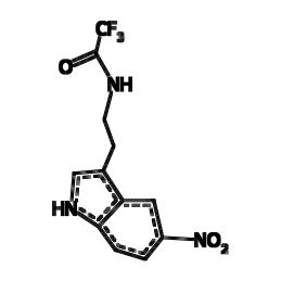 O=C(NCCc1c[nH]c2ccc([N+](=O)[O-])cc12)C(F)(F)F